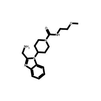 COCCNC(=O)N1CCC(n2c(CN)nc3ccccc32)CC1